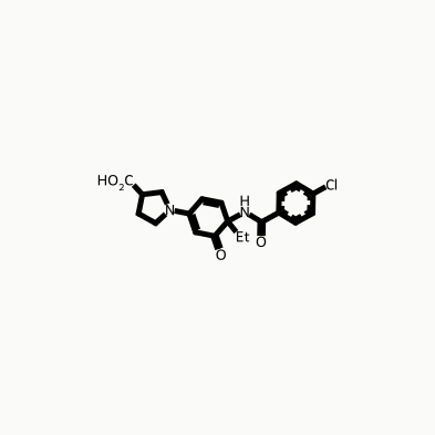 CCC1(NC(=O)c2ccc(Cl)cc2)C=CC(N2CCC(C(=O)O)C2)=CC1=O